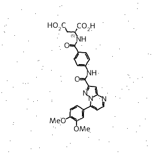 COc1ccc(-c2ccnc3cc(C(=O)Nc4ccc(C(=O)N[C@@H](CC(=O)O)C(=O)O)cc4)nn23)cc1OC